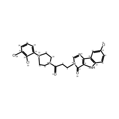 O=C(CCn1cnc2c([nH]c3ccc(Cl)cc32)c1=O)N1CCN(c2cccc(Cl)c2Cl)CC1